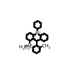 COc1cccc2c1c(-c1c(C)cccc1C)c1ccccc1[n+]2-c1ccccc1